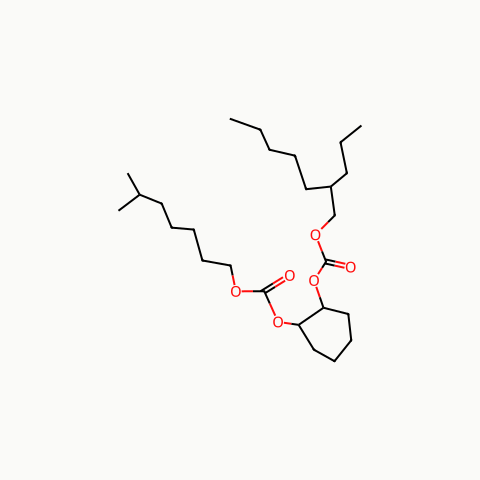 CCCCCC(CCC)COC(=O)OC1CCCCC1OC(=O)OCCCCCC(C)C